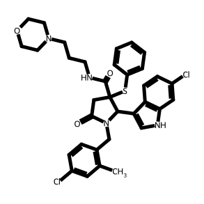 Cc1cc(Cl)ccc1CN1C(=O)CC(Sc2ccccc2)(C(=O)NCCCN2CCOCC2)C1c1c[nH]c2cc(Cl)ccc12